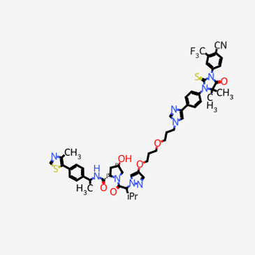 Cc1ncsc1-c1ccc(C(C)NC(=O)[C@@H]2C[C@@H](O)CN2C(=O)C(C(C)C)n2cc(OCCCOCCCn3cnc(-c4ccc(N5C(=S)N(c6ccc(C#N)c(C(F)(F)F)c6)C(=O)C5(C)C)cc4)c3)cn2)cc1